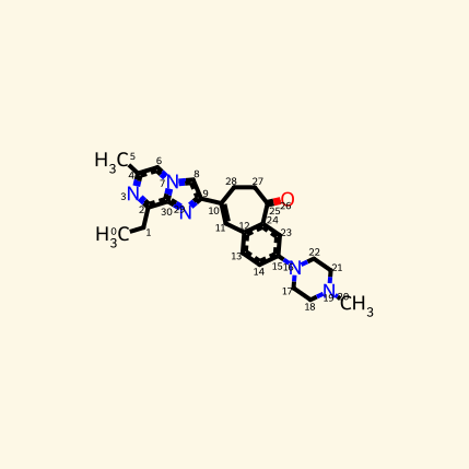 CCc1nc(C)cn2cc(C3=Cc4ccc(N5CCN(C)CC5)cc4C(=O)CC3)nc12